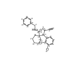 C#CC(=O)N(c1cccc(Cl)c1Cl)C1(C(=O)NCc2ccccc2)CCCCC1